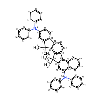 CC1(C)c2cc(N(C3=CC=CCC3)c3ccccc3)ccc2-c2ccc3c(c21)C(C)(C)c1cc(N(c2ccccc2)c2ccccc2)c2ccccc2c1-3